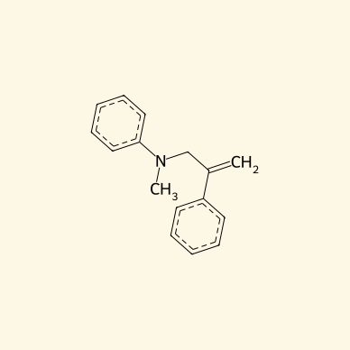 C=C(CN(C)c1ccccc1)c1ccccc1